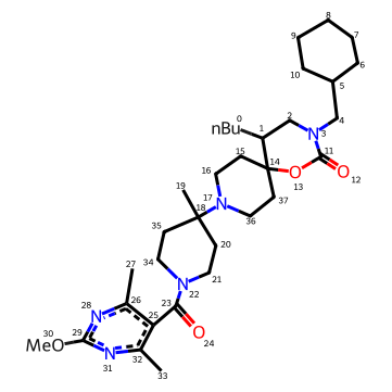 CCCCC1CN(CC2CCCCC2)C(=O)OC12CCN(C1(C)CCN(C(=O)c3c(C)nc(OC)nc3C)CC1)CC2